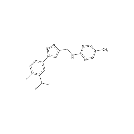 Cc1cnc(NCc2cn(-c3ccc(F)c(C(F)F)c3)nn2)nc1